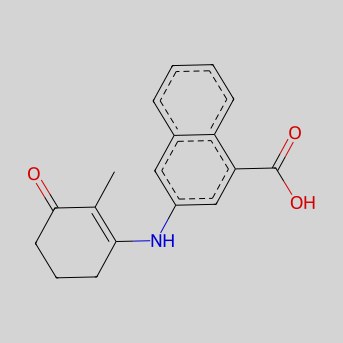 CC1=C(Nc2cc(C(=O)O)c3ccccc3c2)CCCC1=O